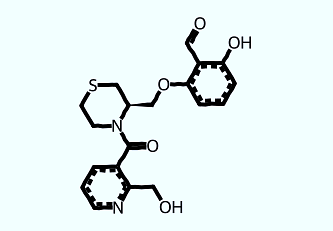 O=Cc1c(O)cccc1OC[C@@H]1CSCCN1C(=O)c1cccnc1CO